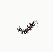 CC1C[C@@H]2C[C@@H](S(=O)(=O)c3cc(C(=O)Nc4cc(F)c(F)c(F)c4)ccc3Cl)C[C@H]1[C@@]2(O)CNC(=O)[C@@H](N)CC(N)=O